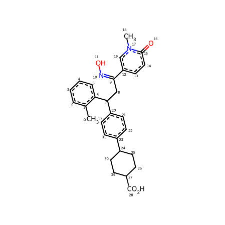 Cc1ccccc1C(C/C(=N/O)c1ccc(=O)n(C)c1)c1ccc(C2CCC(C(=O)O)CC2)cc1